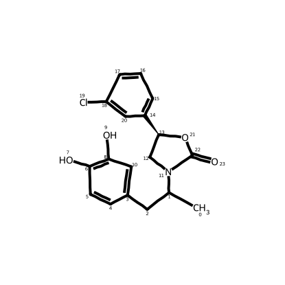 CC(Cc1ccc(O)c(O)c1)N1C[C@@H](c2cccc(Cl)c2)OC1=O